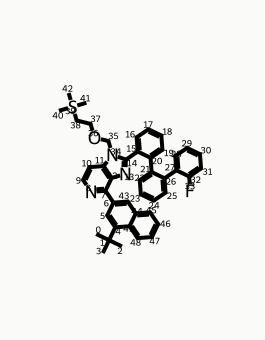 CC(C)(C)c1cc(-c2nccc3c2nc(-c2ccccc2-c2ccccc2-c2ccccc2F)n3COCCS(C)(C)C)cc2ccccc12